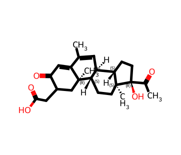 CC(=O)[C@@]1(O)CC[C@H]2[C@@H]3C=C(C)C4=CC(=O)C(CC(=O)O)C[C@]4(C)[C@H]3CC[C@@]21C